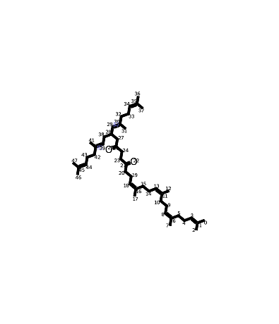 CC(C)=CCCC(C)=CCCC(C)=CCCC(C)=CCCC(=O)CCC(=O)CC(/C=C(\C)CCC=C(C)C)C/C=C(\C)CCC=C(C)C